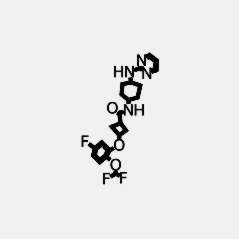 O=C(NC1CCC(Nc2ncccn2)CC1)C1CC(Oc2cc(F)ccc2OC(F)F)C1